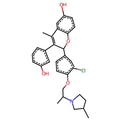 CC1=C(c2cccc(O)c2)C(c2ccc(OCC(C)N3CCC(C)C3)c(Cl)c2)Oc2ccc(O)cc21